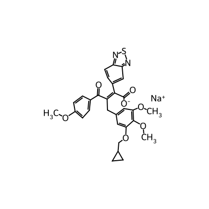 COc1ccc(C(=O)/C(Cc2cc(OC)c(OC)c(OCC3CC3)c2)=C(/C(=O)[O-])c2ccc3nsnc3c2)cc1.[Na+]